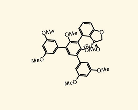 COc1cc(OC)cc(-c2cc(-c3cc(OC)cc(OC)c3)c(OC)c(-c3cccc4c3[P@](=O)(C(C)(C)C)CO4)c2OC)c1